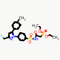 CCOP(=O)(CC(=O)NS(=O)(=O)c1ccc(-n2nc(CF)cc2-c2ccc(C)cc2)cc1)OCC